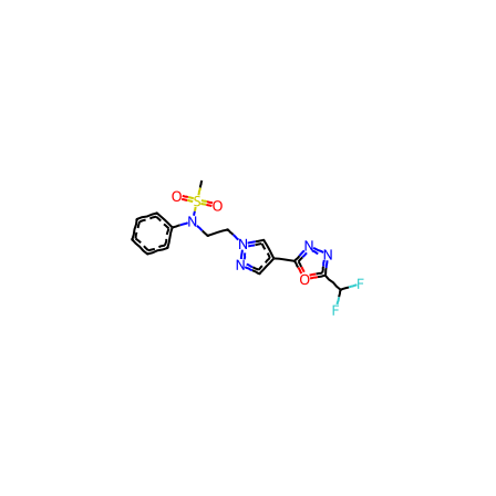 CS(=O)(=O)N(CCn1cc(-c2nnc(C(F)F)o2)cn1)c1ccccc1